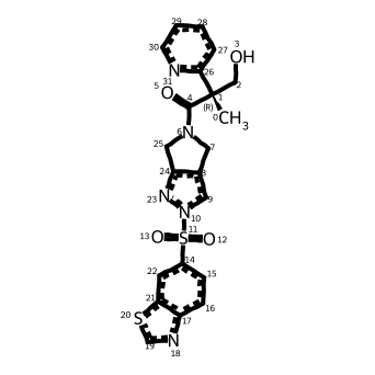 C[C@@](CO)(C(=O)N1Cc2cn(S(=O)(=O)c3ccc4ncsc4c3)nc2C1)c1ccccn1